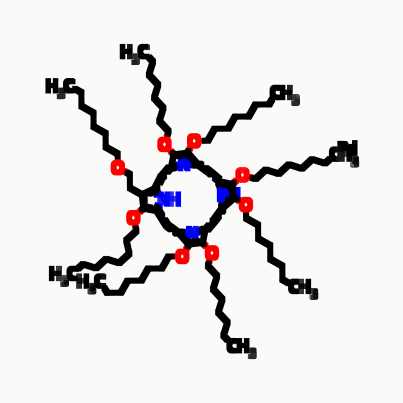 CCCCCCCCOCCc1c(OCCCCCCCC)c2cc3nc(cc4[nH]c(cc5nc(cc1[nH]2)C(OCCCCCCCC)=C5OCCCCCCCC)c(OCCCCCCCC)c4OCCCCCCCC)C(OCCCCCCCC)=C3OCCCCCCCC.[Pd]